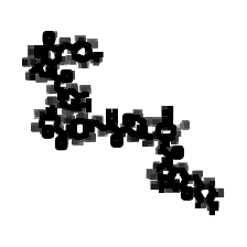 C[C@@H]1CN(CC(=O)N2CC(C)(C)c3[nH]c(=O)c(Cc4ccc(F)cc4)cc32)[C@@H](CN2CCOC(C(=O)NCCN3CCN(C(=O)C4CN(C[C@H]5CN[C@H](C)CN5CC(=O)N5CC(C)(C)c6[nH]c(=O)c(Cc7ccc(F)cc7)cc65)CCO4)CC3)C2)CN1